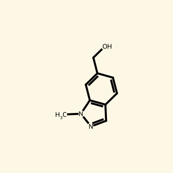 Cn1ncc2ccc(CO)cc21